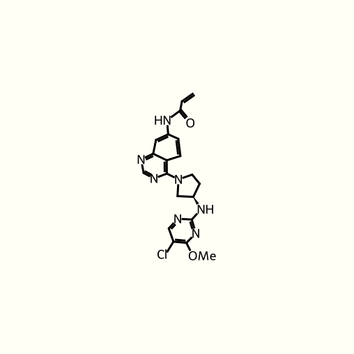 C=CC(=O)Nc1ccc2c(N3CC[C@@H](Nc4ncc(Cl)c(OC)n4)C3)ncnc2c1